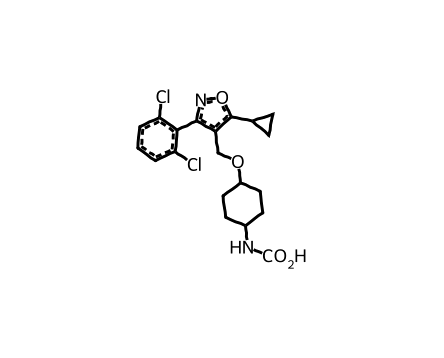 O=C(O)NC1CCC(OCc2c(-c3c(Cl)cccc3Cl)noc2C2CC2)CC1